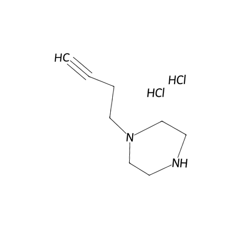 C#CCCN1CCNCC1.Cl.Cl